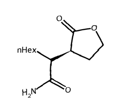 CCCCCCC(C(N)=O)[C@@H]1CCOC1=O